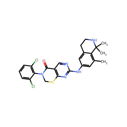 Cc1cc(Nc2ncc3c(n2)SCN(c2c(Cl)cccc2Cl)C3=O)cc2c1C(C)(C)NCC2